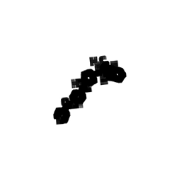 C=CCC1(NC(=O)c2ccc3[nH]c(-c4ccc(NC(=O)c5ccncc5)cc4)nc3c2)CC2CCC[C@@H](C2)C1